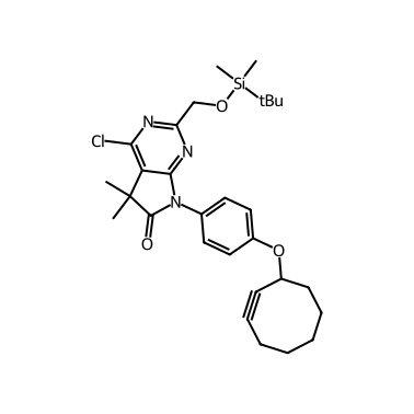 CC1(C)C(=O)N(c2ccc(OC3C#CCCCCC3)cc2)c2nc(CO[Si](C)(C)C(C)(C)C)nc(Cl)c21